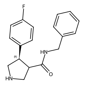 O=C(NCc1ccccc1)C1CNC[C@H]1c1ccc(F)cc1